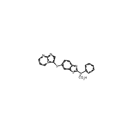 O=C(O)N(c1ccccc1)c1nc2ccc(Sc3cnc4ncccn34)cc2s1